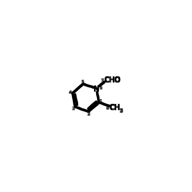 CC1=CC=CCN1C=O